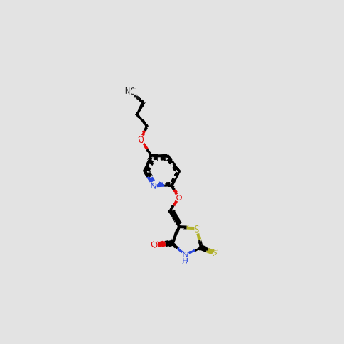 N#CCCCOc1ccc(OC=C2SC(=S)NC2=O)nc1